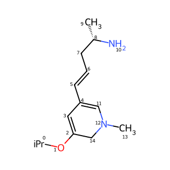 CC(C)OC1=CC(/C=C/C[C@H](C)N)=CN(C)C1